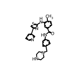 Cc1ccc(C(=O)Nc2ccc(CN3CCNCC3)cc2)cc1Nc1nc(-c2cccnc2)cs1